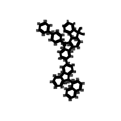 CC1(C)c2ccccc2-c2c1ccc1c3cc(-c4ccc5c(c4)-c4ccccc4C5c4cccc5ccccc45)ccc3n(-c3ccc(-c4ccccc4)cc3)c21